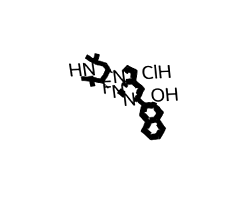 CC1(C)C[C@H](n2ccc3cc(-c4cc5ccccc5cc4O)nnc32)[C@H](F)C(C)(C)N1.Cl